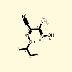 CCC(C)ON=C(C#N)C(N)=NO